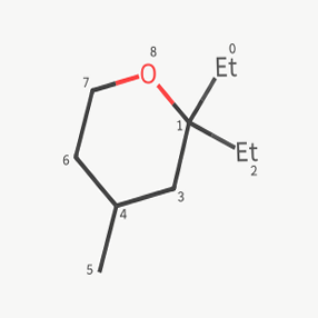 CCC1(CC)CC(C)CCO1